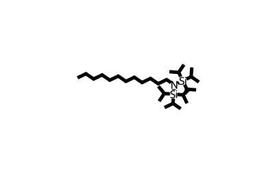 CCCCCCCCCCCCN([Si](C(C)C)(C(C)C)C(C)C)[Si](C(C)C)(C(C)C)C(C)C